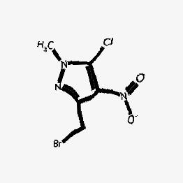 Cn1nc(CBr)c([N+](=O)[O-])c1Cl